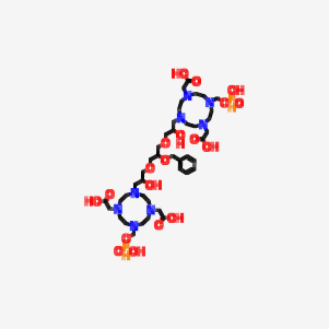 O=C(O)CN1CCN(CO[PH](=O)O)CCN(CC(=O)O)CCN(CC(O)COCC(COCC(O)CN2CCN(CC(=O)O)CCN(CO[PH](=O)O)CCN(CC(=O)O)CC2)OCc2ccccc2)CC1